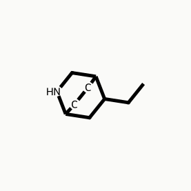 CCC1CC2CCC1CN2